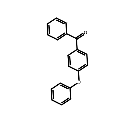 O=C(c1[c]ccc[c]1)c1ccc(Oc2ccccc2)cc1